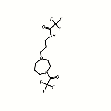 O=C(NCCCN1CCCN(C(=O)C(F)(F)F)CC1)C(F)(F)F